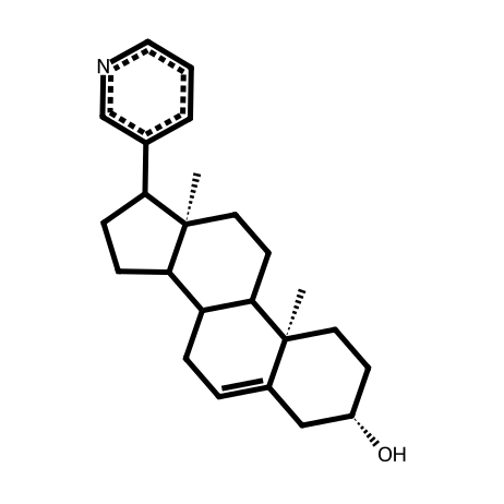 C[C@]12CCC3C(CC=C4C[C@@H](O)CC[C@@]43C)C1CCC2c1cccnc1